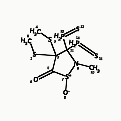 CSC1(SC)C(=O)[S+]([O-])N(C)C1([PH2]=S)[PH2]=S